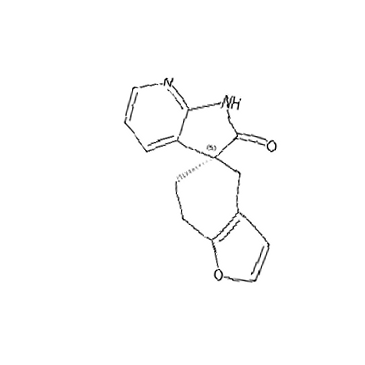 O=C1Nc2ncccc2[C@@]12CCc1occc1C2